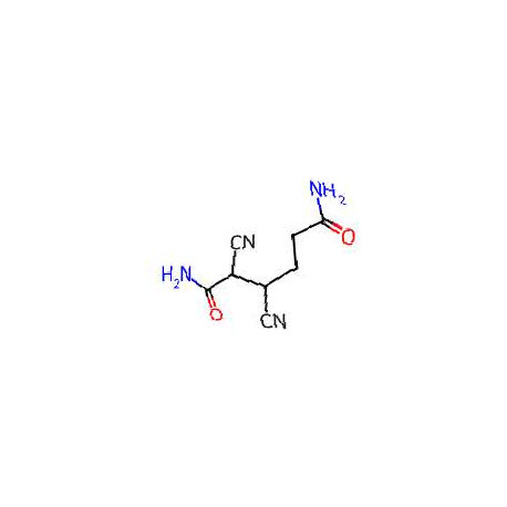 N#CC(CCC(N)=O)C(C#N)C(N)=O